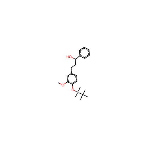 COc1cc(CCC(O)c2ccccc2)ccc1O[Si](C)(C)C(C)(C)C